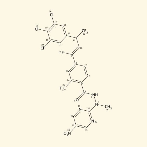 CN(NC(=O)c1ccc(/C(F)=C/C(c2cc(Cl)c(Cl)c(Cl)c2)C(F)(F)F)cc1C(F)(F)F)c1ncc([N+](=O)[O-])cn1